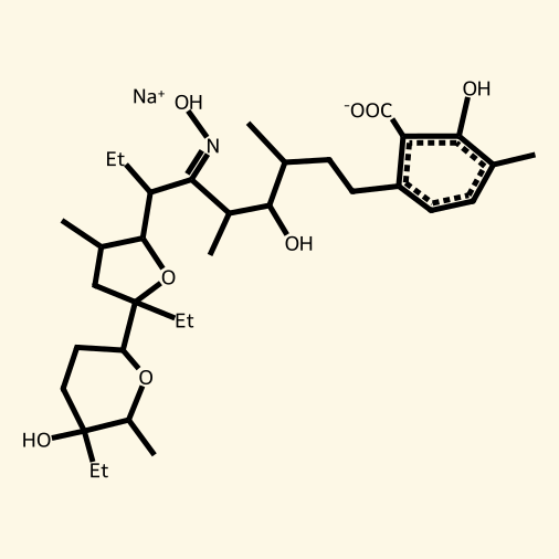 CCC(C(=NO)C(C)C(O)C(C)CCc1ccc(C)c(O)c1C(=O)[O-])C1OC(CC)(C2CCC(O)(CC)C(C)O2)CC1C.[Na+]